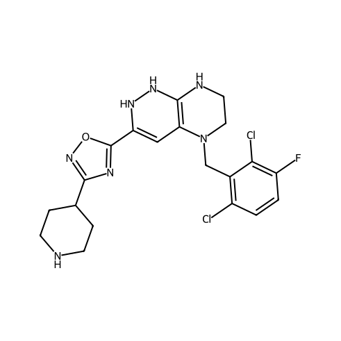 Fc1ccc(Cl)c(CN2CCNC3=C2C=C(c2nc(C4CCNCC4)no2)NN3)c1Cl